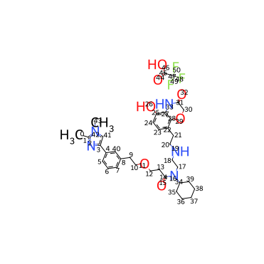 Cc1nc(-c2cccc(CCOCCC(=O)N(CCNCCc3ccc(O)c4c3OCC(=O)N4)C3CCCCC3)c2)cn1C.O=C(O)C(F)(F)F